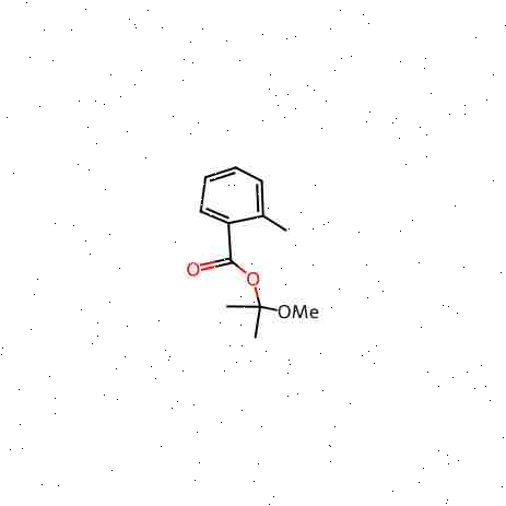 COC(C)(C)OC(=O)c1ccccc1C